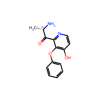 C[C@H](N)C(=O)c1nccc(O)c1Oc1ccccc1